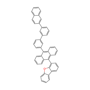 c1cc(-c2cccc(-c3c4ccccc4c(-c4cccc5c4oc4ccccc45)c4ccccc34)c2)cc(-c2ccc3ccccc3c2)c1